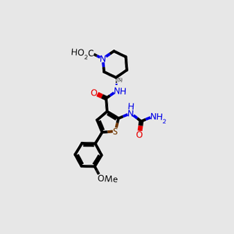 COc1cccc(-c2cc(C(=O)N[C@H]3CCCN(C(=O)O)C3)c(NC(N)=O)s2)c1